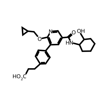 O=C(O)CCc1ccc(-c2cc(C(=O)NC3CCCCC3O)cnc2OCC2CC2)cc1